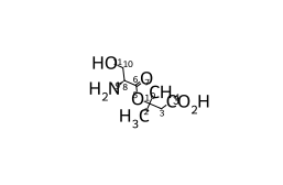 CC(C)(CC(=O)O)OC(=O)[C@@H](N)CO